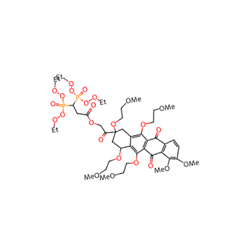 CCOOP(=O)(OOCC)C(CC(=O)OCC(=O)C1(OCCOC)Cc2c(OCCOC)c3c(c(OCCOC)c2C(OCCOC)C1)C(=O)c1c(ccc(OC)c1OC)C3=O)P(=O)(OOCC)OOCC